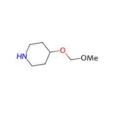 COCOC1CCNCC1